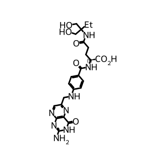 CCC(CO)(CO)NC(=O)CC[C@H](NC(=O)c1ccc(NCc2cnc3nc(N)[nH]c(=O)c3n2)cc1)C(=O)O